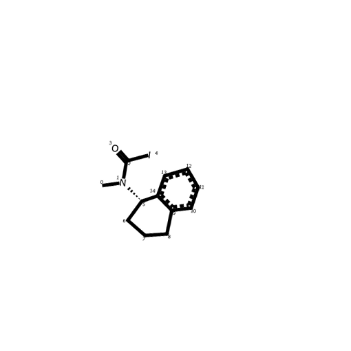 CN(C(=O)I)[C@H]1CCCc2ccccc21